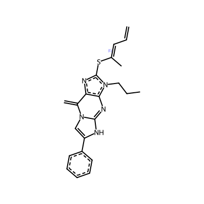 C=C/C=C(\C)Sc1nc2c(n1CCC)N=C1NC(c3ccccc3)=CN1C2=C